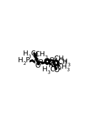 CC(=O)C1OC(Oc2ccc(COC(=O)N(CCCP)CCN(C)C)cc2N)[C@@H](C)[C@@H](C)C1C